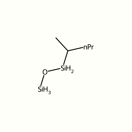 CCCC(C)[SiH2]O[SiH3]